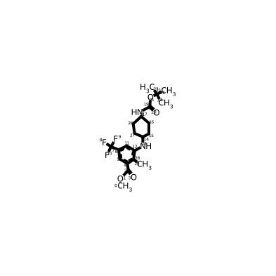 COC(=O)c1cc(C(F)(F)F)cc(NC2CCC(NC(=O)OC(C)(C)C)CC2)c1C